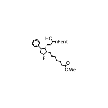 CCCCCC(O)/C=C/[C@H]1C(c2ccccc2)C[C@H](F)[C@@H]1C/C=C/CCCC(=O)OC